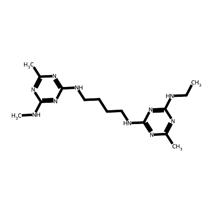 CCNc1nc(C)nc(NCCCCNc2nc(C)nc(NC)n2)n1